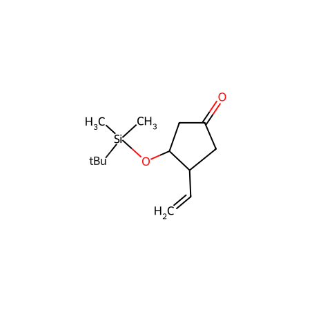 C=CC1CC(=O)CC1O[Si](C)(C)C(C)(C)C